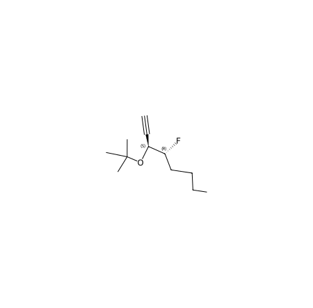 C#C[C@H](OC(C)(C)C)[C@H](F)CCCC